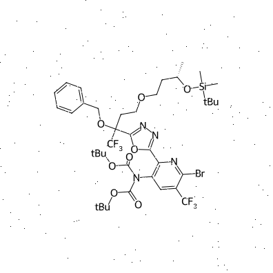 C[C@@H](CCOCCC(OCc1ccccc1)(c1nnc(-c2nc(Br)c(C(F)(F)F)cc2N(C(=O)OC(C)(C)C)C(=O)OC(C)(C)C)o1)C(F)(F)F)O[Si](C)(C)C(C)(C)C